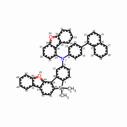 C[Si]1(C)c2ccc(N(c3ccc(-c4cccc5ccccc45)cc3)c3cccc4oc5ccccc5c34)cc2-c2c1ccc1c2oc2ccccc21